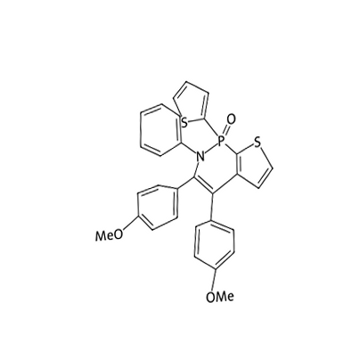 COc1ccc(C2=C(c3ccc(OC)cc3)N(c3ccccc3)P(=O)(c3cccs3)c3sccc32)cc1